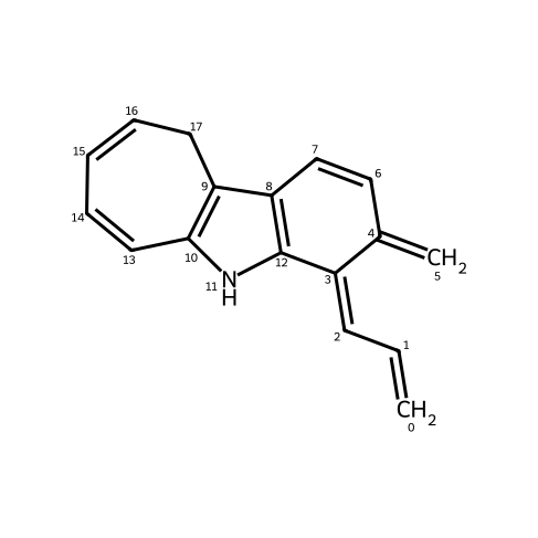 C=C/C=c1\c(=C)ccc2c3c([nH]c12)C=CC=CC3